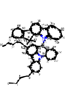 CCCCc1ccc2c(c1)c1cc(CCCC)cc3c1n2-c1ccccc1B3n1c2ccccc2c2ccc3c(c21)C(C)(C)c1ccccc1-3